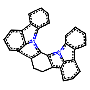 c1ccc2c(c1)c1cccc3c4c(n2c31)-c1c(c2cccc3c5ccccc5n1c23)CC4